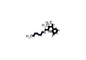 C=C/C=C\C=C/CSCC(N)C(=C)C(CC)c1cccc(F)c1